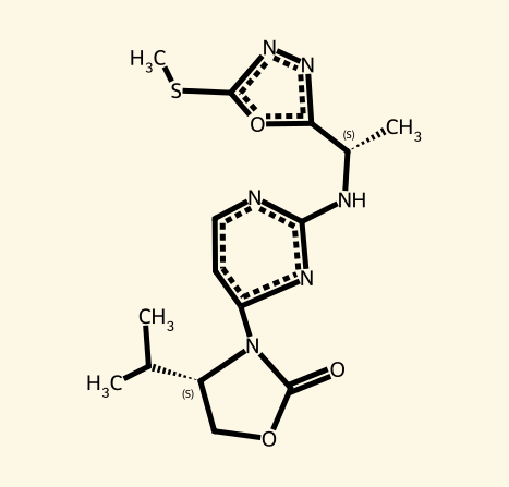 CSc1nnc([C@H](C)Nc2nccc(N3C(=O)OC[C@@H]3C(C)C)n2)o1